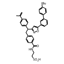 C=C(C)c1ccc(C(Cc2ccc(C(=O)NCCS(=O)(=O)O)cc2)c2cc(-c3cccc(-c4ccc(C(C)(C)C)cc4)c3)on2)cc1